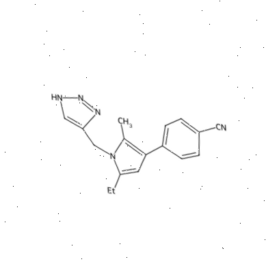 CCc1cc(-c2ccc(C#N)cc2)c(C)n1Cc1c[nH]nn1